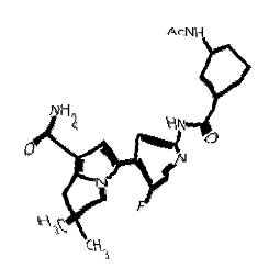 CC(=O)NC1CCCC(C(=O)Nc2cc(-c3cc(C(N)=O)c4n3CC(C)(C)C4)c(F)cn2)C1